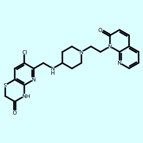 O=C1CSc2cc(Cl)c(CNC3CCN(CCn4c(=O)ccc5cccnc54)CC3)nc2N1